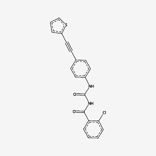 O=C(NC(=O)c1ccccc1Cl)Nc1ccc(C#Cc2cccs2)cc1